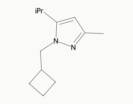 Cc1cc(C(C)C)n(CC2CCC2)n1